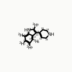 [2H]c1[nH]c2c([2H])c([2H])c([2H])c([2H])c2c1C1=CCNCC1